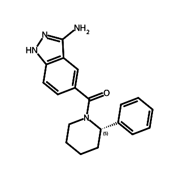 Nc1n[nH]c2ccc(C(=O)N3CCCC[C@H]3c3ccccc3)cc12